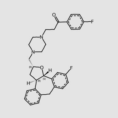 O=C(CCN1CCN(C[C@H]2C[C@@H]3c4ccccc4Cc4ccc(F)cc4[C@H]3O2)CC1)c1ccc(F)cc1